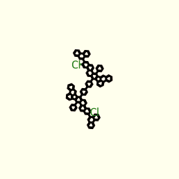 Clc1cc2c(ccc3c2ccc2c(-c4ccc(-c5ccc(-c6c7c(c(-c8ccccc8)c8c6ccc6c9cc(Cl)c(-c%10cc%11ccccc%11c%11ccccc%10%11)cc9ccc68)-c6cc8ccccc8c8cccc-7c68)cc5)cc4)c4c(c(-c5ccccc5)c23)-c2cccc3c2c-4cc2ccccc23)cc1-c1cc2ccccc2c2ccccc12